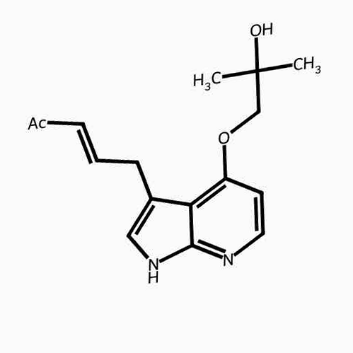 CC(=O)/C=C/Cc1c[nH]c2nccc(OCC(C)(C)O)c12